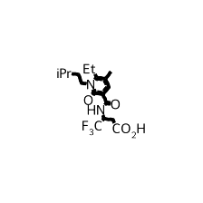 CCc1c(C)cc(C(=O)NC(CC(=O)O)C(F)(F)F)c(=O)n1CCC(C)C